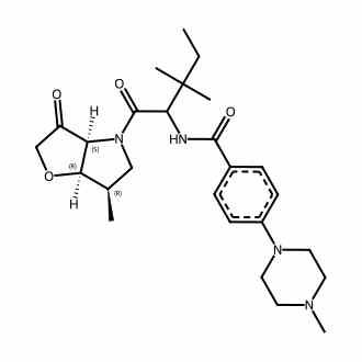 CCC(C)(C)C(NC(=O)c1ccc(N2CCN(C)CC2)cc1)C(=O)N1C[C@@H](C)[C@H]2OCC(=O)[C@H]21